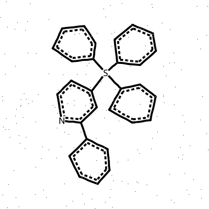 c1ccc(-c2cc(S(c3ccccc3)(c3ccccc3)c3ccccc3)ccn2)cc1